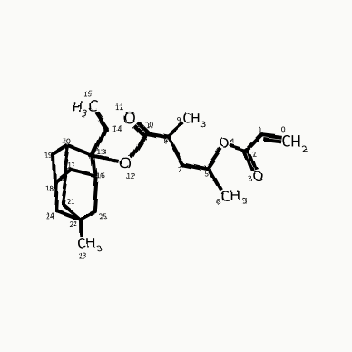 C=CC(=O)OC(C)CC(C)C(=O)OC1(CC)C2CC3CC1CC(C)(C3)C2